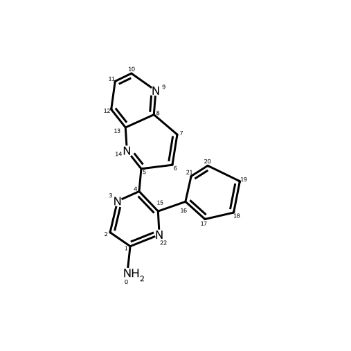 Nc1cnc(-c2ccc3ncccc3n2)c(-c2ccccc2)n1